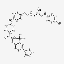 O=C(NCc1ccc(-n2cccn2)cc1C(F)(F)F)N1CCC(Nc2ccc(CCNC[C@H](O)COc3ccc(O)cc3)cc2)CC1